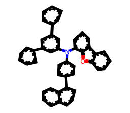 c1ccc(-c2cc(-c3ccccc3)cc(N(c3ccc(-c4cccc5ccccc45)cc3)c3cccc4c3oc3ccccc34)c2)cc1